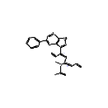 C=C/C=C(\C=C(/C=C)c1c[nH]c2ncc(-c3ccccc3)cc12)N(C)C(=C)C